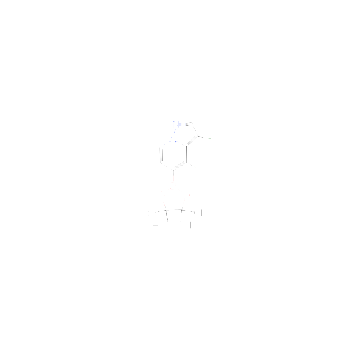 CC1(C)OB(c2ccn3ncc(Cl)c3c2F)OC1(C)C